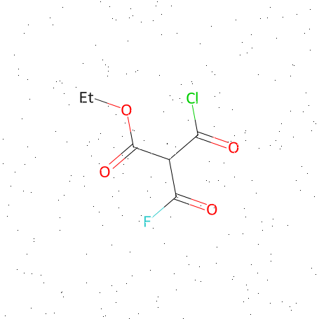 CCOC(=O)C(C(=O)F)C(=O)Cl